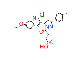 CCOc1ccc2cc(C3CC(c4ccc(I)cc4)=NN3C(=O)CCC(=O)O)c(Cl)nc2c1